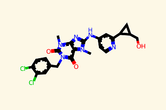 Cn1c(Nc2ccnc(C3CC3CO)c2)nc2c1c(=O)n(Cc1ccc(Cl)c(Cl)c1)c(=O)n2C